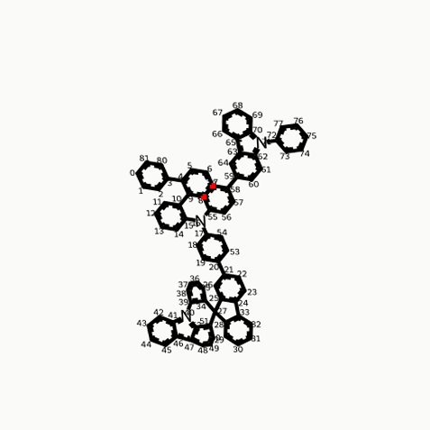 c1ccc(-c2ccccc2-c2ccccc2N(c2ccc(-c3ccc4c(c3)C3(c5ccccc5-4)c4ccccc4-n4c5ccccc5c5cccc3c54)cc2)c2ccc(-c3ccc4c(c3)c3ccccc3n4-c3ccccc3)cc2)cc1